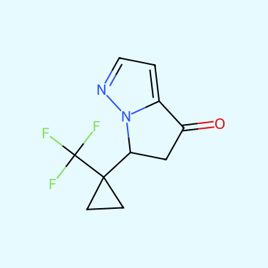 O=C1CC(C2(C(F)(F)F)CC2)n2nccc21